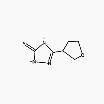 S=c1[nH]nc(C2CCOC2)[nH]1